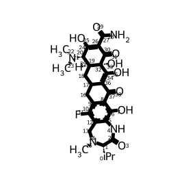 CC(C)[C@H]1C(=O)Nc2c(O)c3c(c(F)c2CN1C)CC1C[C@H]2[C@H](N(C)C)C(O)=C(C(N)=O)C(=O)[C@@]2(O)C(O)=C1C3=O